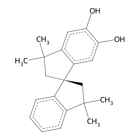 CC1(C)C[C@]2(CC(C)(C)c3cc(O)c(O)cc32)c2ccccc21